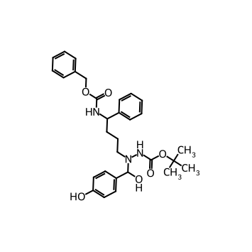 CC(C)(C)OC(=O)NN(CCCC(NC(=O)OCc1ccccc1)c1ccccc1)C(O)c1ccc(O)cc1